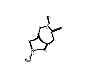 C=C1CC2CN(C(C)(C)C)CC2CN1C